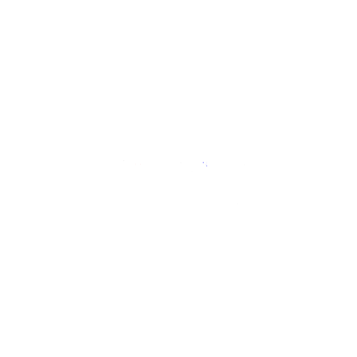 c1ccc2c(c1)ccc1c3ccccc3c(-n3c4ccccc4c4cc(-c5cccc6c5oc5ccccc56)ccc43)cc21